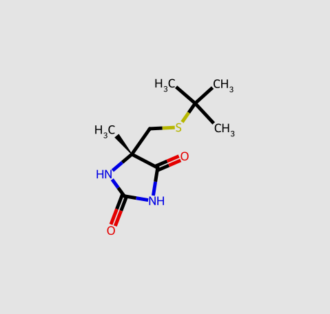 CC(C)(C)SC[C@@]1(C)NC(=O)NC1=O